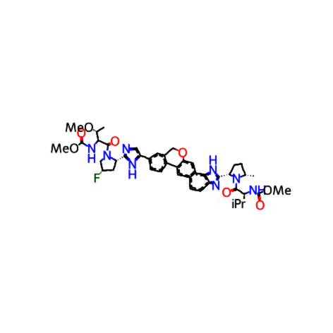 COC(=O)NC(C(=O)N1C[C@@H](F)C[C@H]1c1ncc(-c2ccc3c(c2)COc2cc4c(ccc5nc([C@@H]6CC[C@H](C)N6C(=O)[C@@H](NC(=O)OC)C(C)C)[nH]c54)cc2-3)[nH]1)[C@@H](C)OC